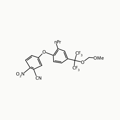 CCCc1cc(C(OCOC)(C(F)(F)F)C(F)(F)F)ccc1Oc1ccc([N+](=O)[O-])c(C#N)c1